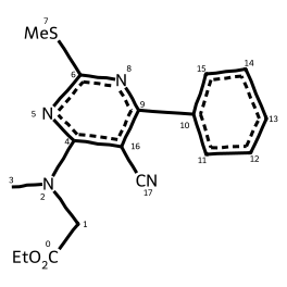 CCOC(=O)CN(C)c1nc(SC)nc(-c2ccccc2)c1C#N